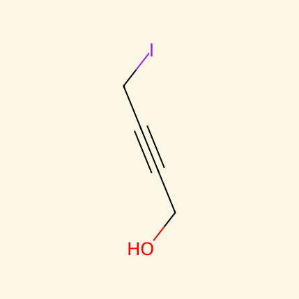 OCC#CCI